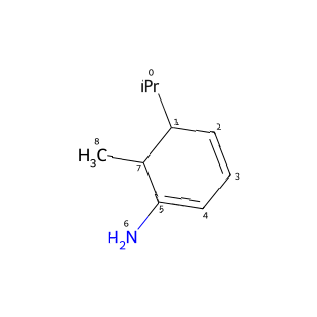 CC(C)C1C=CC=C(N)C1C